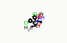 C=CC[C@@]1(CC)C[C@H](c2cccc(Cl)c2)C(c2ccc(Cl)cc2)N([C@H](CNS(=O)(=O)C(C)C)C2CC2)C1=O